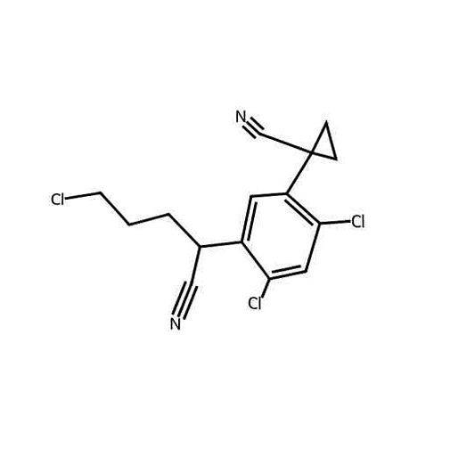 N#CC(CCCCl)c1cc(C2(C#N)CC2)c(Cl)cc1Cl